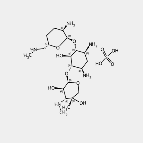 CNC[C@@H]1CC[C@@H](N)[C@@H](O[C@H]2[C@H](O)[C@@H](O[C@H]3OC[C@](C)(O)[C@H](NC)[C@H]3O)[C@H](N)C[C@@H]2N)O1.O=S(=O)(O)O